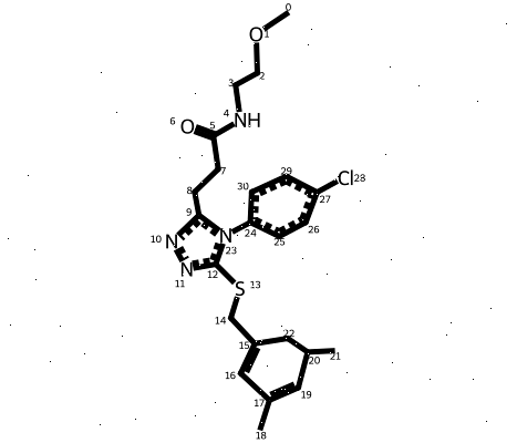 COCCNC(=O)CCc1nnc(SCC2=CC(C)=CC(C)C2)n1-c1ccc(Cl)cc1